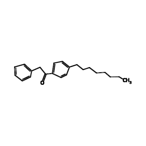 CCCCCCCCc1ccc(C(=O)Cc2ccccc2)cc1